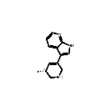 C[C@@H]1C=C(c2c[nH]c3ncccc23)CNC1